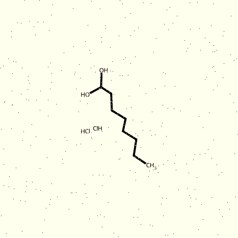 CCCCCCCC(O)O.Cl.Cl